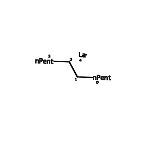 [CH2]CCCCCCCCCCC.[La]